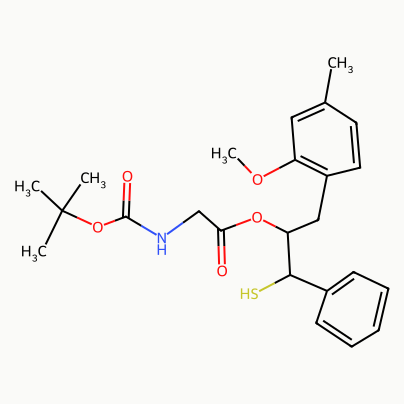 COc1cc(C)ccc1CC(OC(=O)CNC(=O)OC(C)(C)C)C(S)c1ccccc1